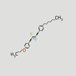 CCCCCCCc1ccc(C#C/C(F)=C(\F)C#Cc2ccc(OCCCC)cc2)cc1